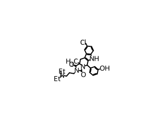 CCN(CC)CCCN1C(=O)N2C(c3cccc(O)c3)c3[nH]c4ccc(Cl)cc4c3CC2(C)C1=O